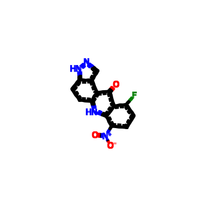 O=c1c2c(F)ccc([N+](=O)[O-])c2[nH]c2ccc3[nH]ncc3c12